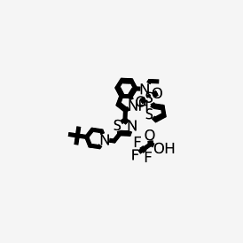 CCN(c1cccc2cc(-c3ncc(CN4CCC(C(C)(C)C)CC4)s3)[nH]c12)S(=O)(=O)c1cccs1.O=C(O)C(F)(F)F